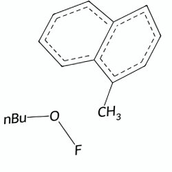 CCCCOF.Cc1cccc2ccccc12